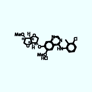 COc1cc2c(Nc3cccc(Cl)c3C)ncnc2cc1O[C@H]1CO[C@H]2[C@@H]1OC[C@@H]2OC.Cl